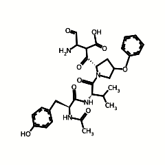 CC(=O)N[C@@H](Cc1ccc(O)cc1)C(=O)N[C@H](C(=O)N1CC(Oc2ccccc2)C[C@H]1C(=O)C(C(=O)O)C(N)C=O)C(C)C